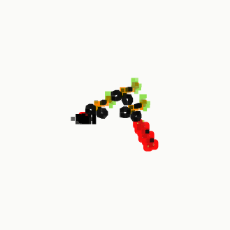 CS(=O)(=O)[O-].CS(=O)(=O)[O-].CS(=O)(=O)[O-].C[P+](C#CP(F)F)(c1ccccc1)c1ccccc1.C[P+](C#CP(F)F)(c1ccccc1)c1ccccc1.C[P+](C#CP(F)F)(c1ccccc1)c1ccccc1.[C]=O.[RhH]